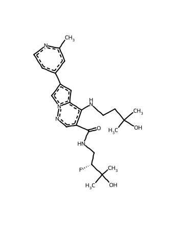 Cc1cc(-c2cc3c(NCCC(C)(C)O)c(C(=O)NC[C@@H](F)C(C)(C)O)cnn3c2)ccn1